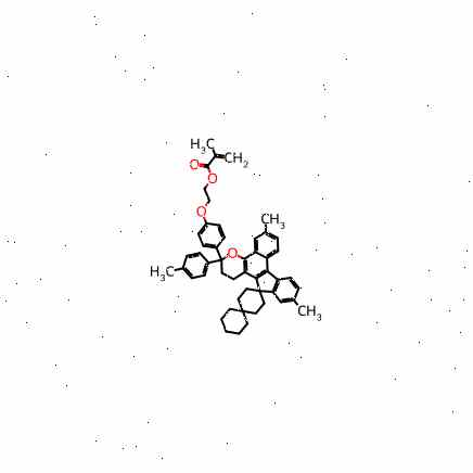 C=C(C)C(=O)OCCOc1ccc(C2(c3ccc(C)cc3)CCc3c4c(c5ccc(C)cc5c3O2)-c2ccc(C)cc2C42CCC3(CCCCC3)CC2)cc1